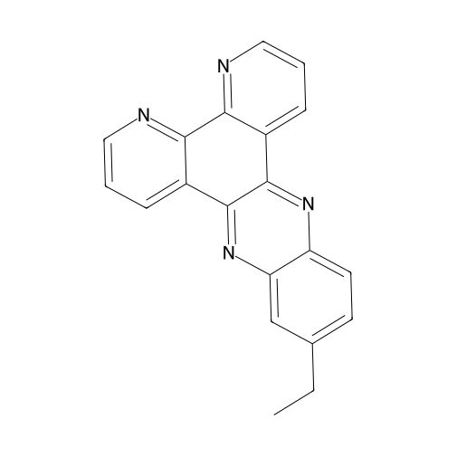 CCc1ccc2nc3c4cccnc4c4ncccc4c3nc2c1